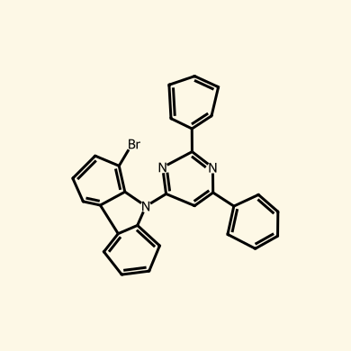 Brc1cccc2c3ccccc3n(-c3cc(-c4ccccc4)nc(-c4ccccc4)n3)c12